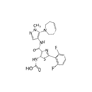 Cn1ncc(NC(=O)c2nc(-c3c(F)cccc3F)sc2NC(=O)O)c1N1CCC=CCC1